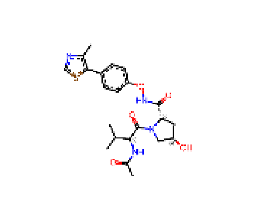 CC(=O)N[C@H](C(=O)N1C[C@H](O)C[C@H]1C(=O)NOc1ccc(-c2scnc2C)cc1)C(C)C